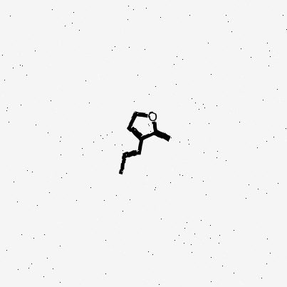 C=C1OCC=C1/C=C/C